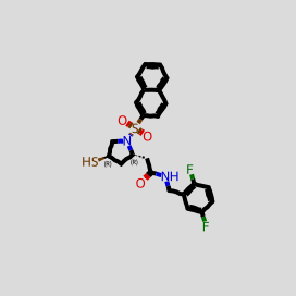 O=C(C[C@@H]1C[C@@H](S)CN1S(=O)(=O)c1ccc2ccccc2c1)NCc1cc(F)ccc1F